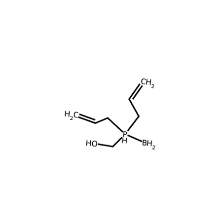 B[PH](CO)(CC=C)CC=C